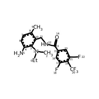 CCN(C)c1c(N)ccc(C)c1CNC(=O)c1cc(F)c(C(F)(F)F)c(F)c1